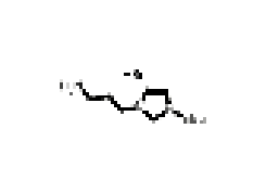 Br.CCCCN1C=CN(CCCN)C1